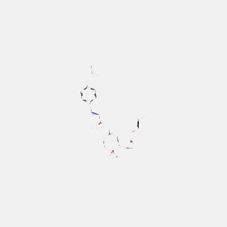 CC(C)=CC[C@@H]1O[C@@]1(C)C1[C@H](O)[C@H](OC(=O)/C=C/c2ccc(OC(C)C)cc2)CC[C@]12CO2